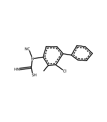 Cc1c(N(C#N)C(=N)S)ccc(-c2ccccc2)c1Cl